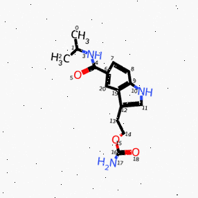 CC(C)NC(=O)c1ccc2[nH]cc(CCOC(N)=O)c2c1